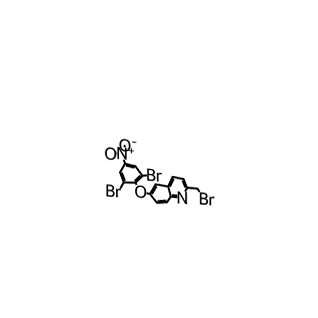 O=[N+]([O-])c1cc(Br)c(Oc2ccc3nc(CBr)ccc3c2)c(Br)c1